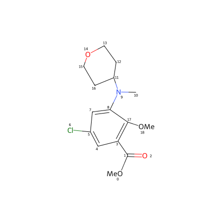 COC(=O)c1cc(Cl)cc(N(C)C2CCOCC2)c1OC